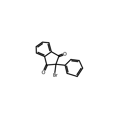 O=C1c2ccccc2C(=O)C1(Br)c1ccccc1